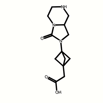 O=C(O)CC12CC(N3CC4CNCCN4C3=O)(C1)C2